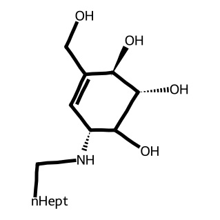 CCCCCCCCN[C@@H]1C=C(CO)[C@@H](O)[C@H](O)C1O